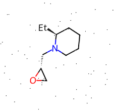 CC[C@H]1CCCCN1C[C@@H]1CO1